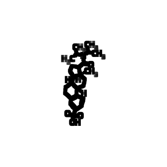 CC(C)N(C(=O)C1CC[C@H]2[C@@H]3CCc4cc(S(=O)(=O)O)ccc4[C@H]3CC[C@]12C)C(C)C